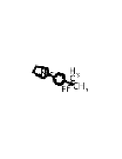 CCC(C)(C)c1ccc(C2CC3CCC(C2)N3C(C)=O)cc1